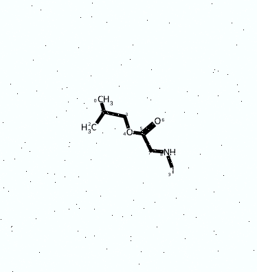 CC(C)COC(=O)CNI